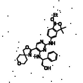 CCOB1OC(C)(C)c2cc(Nc3ncc(C4=NC5(CCOCC5)CO4)c(N[C@H](CO)c4ccccc4)n3)ccc21